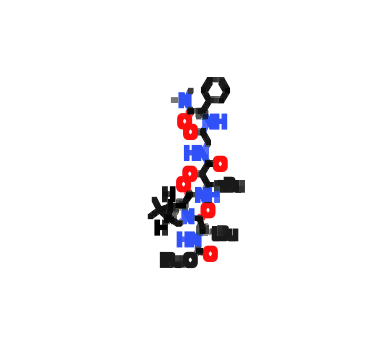 CCCCC(NC(=O)[C@@H]1[C@@H]2[C@H](CN1C(=O)[C@@H](NC(=O)OCC(C)C)C(C)(C)C)C2(C)C)C(=O)C(=O)NCC(=O)N[C@H](C(=O)N(C)C)c1ccccc1